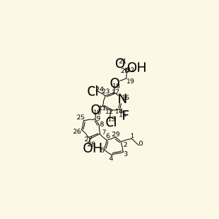 CCc1cccc(-c2cc(Oc3c(Cl)c(F)nc(OCC(=O)O)c3Cl)ccc2O)c1